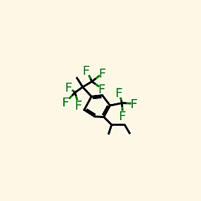 CCC(C)c1ccc(C(C)(C(F)(F)F)C(F)(F)F)cc1C(F)(F)F